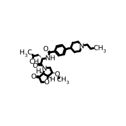 CCCN1CCC(c2ccc(C(=O)N[C@@H](CC(C)C)C(=O)N3C[C@H](OC)[C@H]4OCC(=O)[C@H]43)cc2)CC1